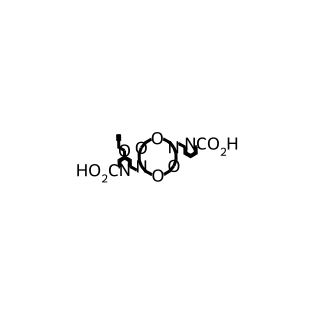 C#CCOc1cc(CN2CCOCCOCCN(Cc3cccc(C(=O)O)n3)CCOCCOCC2)nc(C(=O)O)c1